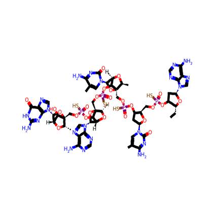 CC[C@H]1O[C@@H](n2cnc3c(N)ncnc32)CC1OP(=O)(S)OC[C@H]1O[C@@H](n2cc(C)c(N)nc2=O)CC1OP(=O)(S)OC[C@@]12O[C@@H](n3cc(C)c(N)nc3=O)[C@@H](O[C@H]1C)C2OP(=O)(S)OC[C@@]12O[C@@H](n3cnc4c(N)ncnc43)[C@@H](O[C@H]1C)C2OP(=O)(S)OC[C@@]12O[C@@H](n3cnc4c(=O)[nH]c(N)nc43)[C@@H](O[C@H]1C)C2O